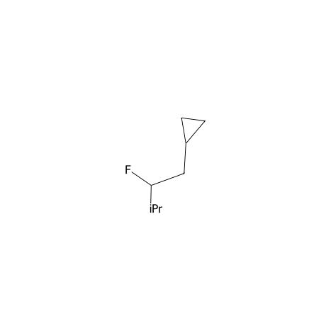 CC(C)C(F)CC1CC1